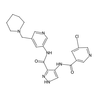 O=C(Nc1c[nH]nc1C(=O)Nc1cncc(CN2CCCCC2)c1)c1cncc(Cl)c1